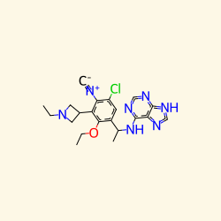 [C-]#[N+]c1c(Cl)cc(C(C)Nc2ncnc3[nH]cnc23)c(OCC)c1C1CN(CC)C1